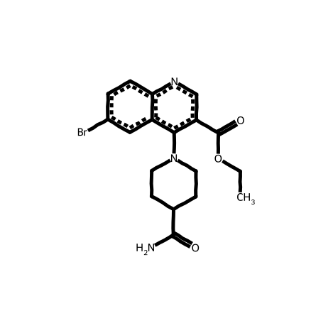 CCOC(=O)c1cnc2ccc(Br)cc2c1N1CCC(C(N)=O)CC1